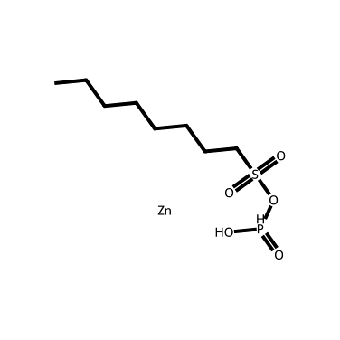 CCCCCCCCS(=O)(=O)O[PH](=O)O.[Zn]